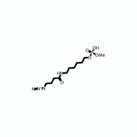 COP(=O)(O)OCCCCCCNC(=O)CCCN=[N+]=[N-]